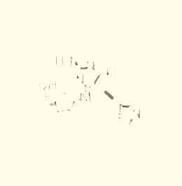 Nc1nc(Cl)c(C#Cc2cncs2)c(N[C@H]2CC[C@@H](CO)C2)n1